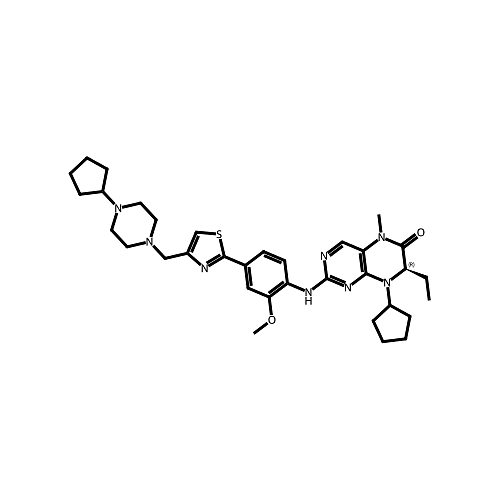 CC[C@@H]1C(=O)N(C)c2cnc(Nc3ccc(-c4nc(CN5CCN(C6CCCC6)CC5)cs4)cc3OC)nc2N1C1CCCC1